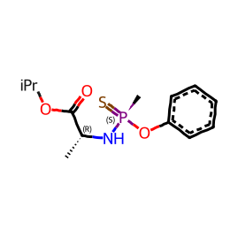 CC(C)OC(=O)[C@@H](C)N[P@](C)(=S)Oc1ccccc1